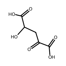 O=C(O)C(=O)CC(O)C(=O)O